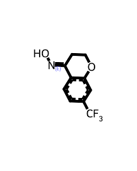 O/N=C1\CCOc2cc(C(F)(F)F)ccc21